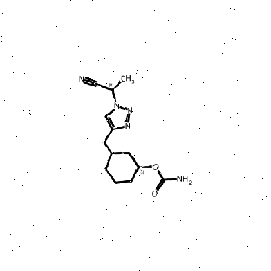 C[C@H](C#N)n1cc([CH]C2CCC[C@H](OC(N)=O)C2)nn1